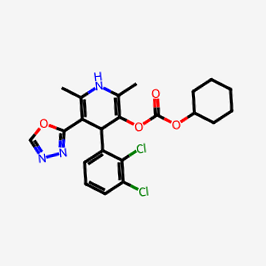 CC1=C(OC(=O)OC2CCCCC2)C(c2cccc(Cl)c2Cl)C(c2nnco2)=C(C)N1